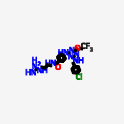 N=C(N)NCCCCNC(=O)c1ccc(Nc2nc(NCc3ccc(Cl)cc3)nc(OCC(F)(F)F)n2)cc1